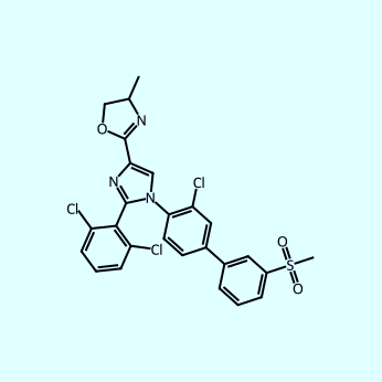 CC1COC(c2cn(-c3ccc(-c4cccc(S(C)(=O)=O)c4)cc3Cl)c(-c3c(Cl)cccc3Cl)n2)=N1